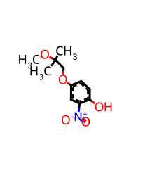 COC(C)(C)COc1ccc(O)c([N+](=O)[O-])c1